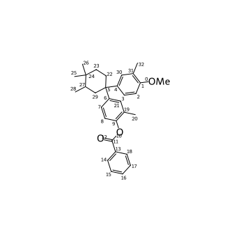 COc1ccc(C2(c3ccc(OC(=O)c4ccccc4)c(C)c3)CCC(C)(C)C(C)C2)cc1C